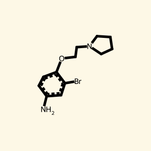 Nc1ccc(OCCN2CCCC2)c(Br)c1